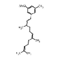 COc1cc(C)cc(CC=C(C)CCC=C(C)CCC=C(C)C)c1